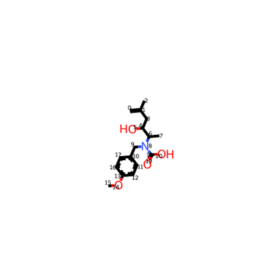 C=C(C)CC(O)C(C)N(Cc1ccc(OC)cc1)C(=O)O